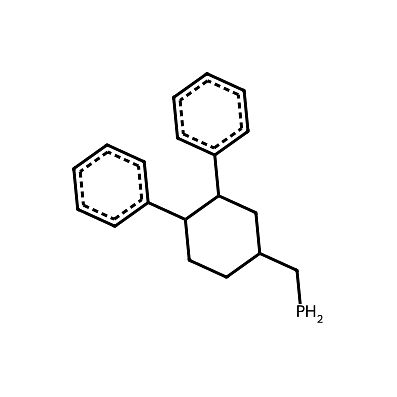 PCC1CCC(c2ccccc2)C(c2ccccc2)C1